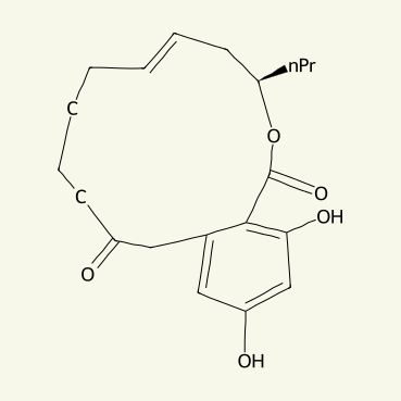 CCC[C@@H]1C/C=C/CCCCC(=O)Cc2cc(O)cc(O)c2C(=O)O1